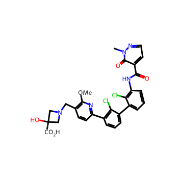 COc1nc(-c2cccc(-c3cccc(NC(=O)c4ccnn(C)c4=O)c3Cl)c2Cl)ccc1CN1CC(O)(C(=O)O)C1